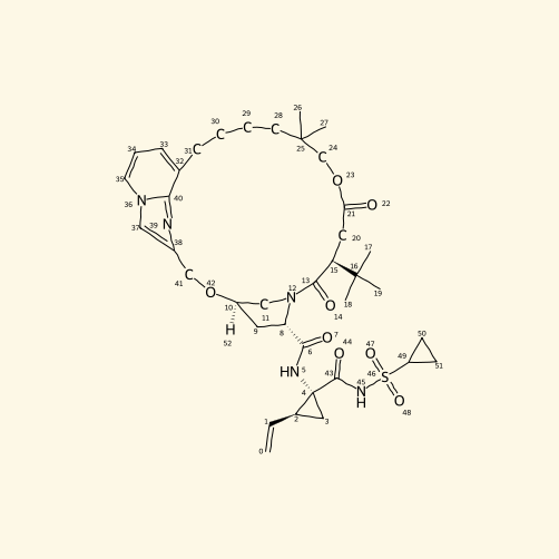 C=C[C@@H]1C[C@]1(NC(=O)[C@@H]1C[C@@H]2CN1C(=O)[C@H](C(C)(C)C)CC(=O)OCC(C)(C)CCCCc1cccn3cc(nc13)CO2)C(=O)NS(=O)(=O)C1CC1